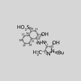 Cc1nn(C(C)(C)C)c(O)c1N=Nc1c(O)cc(S(=O)(=O)O)c2ccccc12